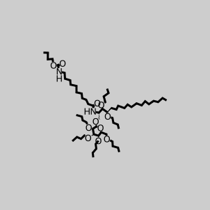 CCCCCCCCCCCCCC[C@@H](OCCCC)[C@@H](OCCCC)[C@H](CO[C@H]1OC(COCCCC)[C@H](OCCCC)[C@H](OCCCC)C1OCCCC)NC(=O)CCCCCCCCCCNC(=O)OCCCC